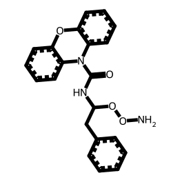 NOOC(Cc1ccccc1)NC(=O)N1c2ccccc2Oc2ccccc21